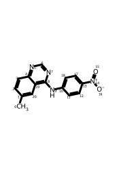 Cc1ccc2ncnc(Nc3ccc([N+](=O)[O-])cc3)c2c1